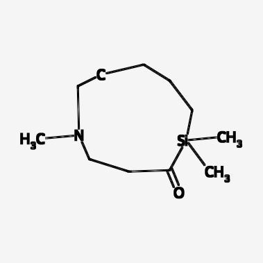 CN1CCCCC[Si](C)(C)C(=O)CC1